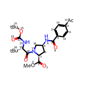 COC(=O)[C@@H]1C[C@H](NC(=O)c2ccc(C(C)=O)cc2)CN1C(=O)[C@@H](NC(=O)OC(C)(C)C)C(C)(C)C